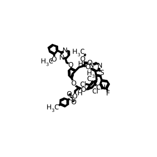 CCOC(=O)[C@H]1Cc2cc(ccc2OCc2ccnc(-c3ccccc3OC)n2)OC[C@@H](COS(=O)(=O)c2ccc(C)cc2)Oc2c(Cl)c(C)c(c(C)c2Cl)-c2c(-c3ccc(F)cc3)sc3ncnc(c23)O1